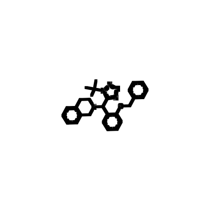 CC(C)(C)n1nnnc1C(c1ccccc1OCc1ccccc1)N1CCc2ccccc2C1